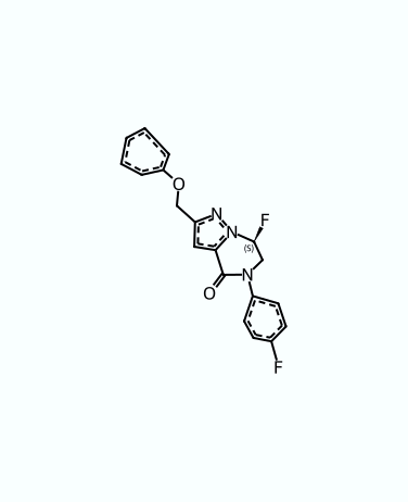 O=C1c2cc(COc3ccccc3)nn2[C@@H](F)CN1c1ccc(F)cc1